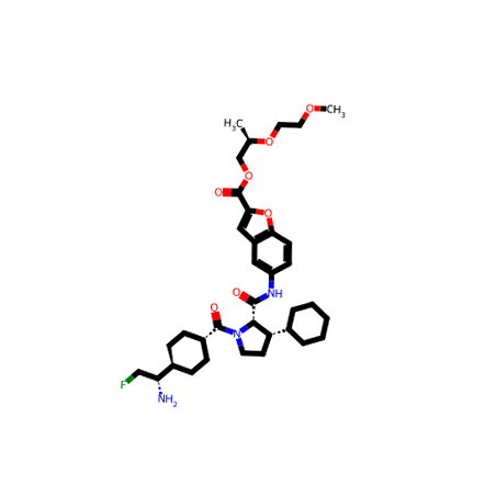 COCCO[C@H](C)COC(=O)c1cc2cc(NC(=O)[C@@H]3[C@H](C4CCCCC4)CCN3C(=O)[C@H]3CC[C@H]([C@H](N)CF)CC3)ccc2o1